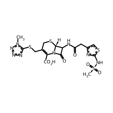 Cn1nnnc1SCC1=C(C(=O)O)N2C(=O)C(NC(=O)Cc3csc(NS(C)(=O)=O)n3)[C@H]2SC1